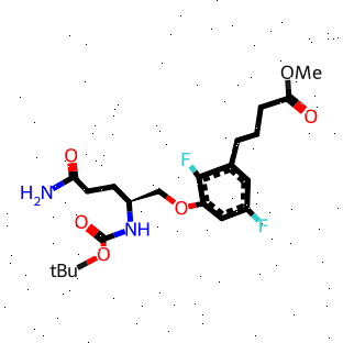 COC(=O)CCCc1cc(F)cc(OC[C@H](CCC(N)=O)NC(=O)OC(C)(C)C)c1F